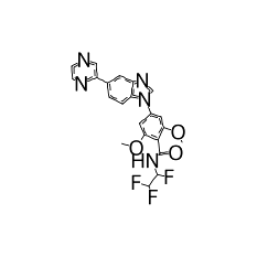 COc1cc(-n2cnc3cc(-c4cnccn4)ccc32)cc(OC)c1C(=O)NC(F)C(F)F